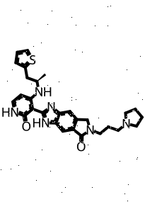 C[C@H](Cc1cccs1)Nc1cc[nH]c(=O)c1-c1nc2cc3c(cc2[nH]1)C(=O)N(CCCN1CCCC1)C3